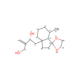 C=C(CO)[C@H](O)CC12CCCC(C#N)C1C1(CC2)OCCO1